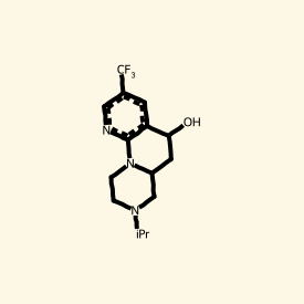 CC(C)N1CCN2c3ncc(C(F)(F)F)cc3C(O)CC2C1